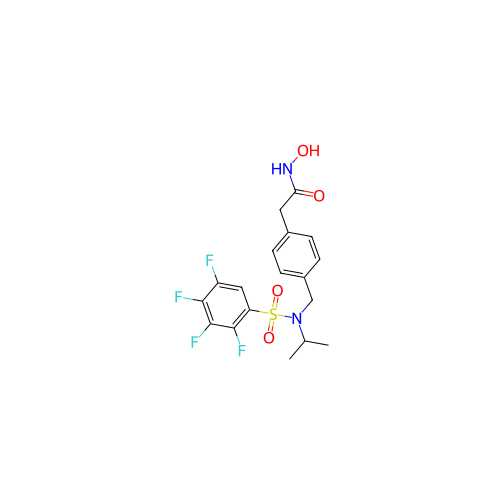 CC(C)N(Cc1ccc(CC(=O)NO)cc1)S(=O)(=O)c1cc(F)c(F)c(F)c1F